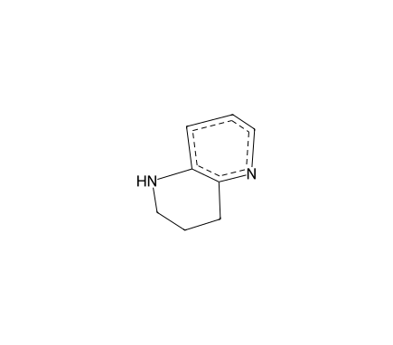 c1cnc2c(c1)NCCC2